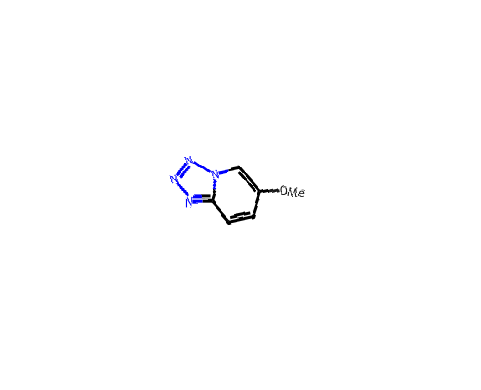 COc1ccc2nnnn2c1